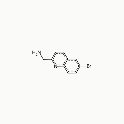 NCc1ccc2cc(Br)ccc2n1